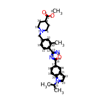 COC(=O)C1CCN(Cc2ccc(-c3noc(-c4ccc5c(ccn5C(C)C)c4)n3)c(C)c2)CC1